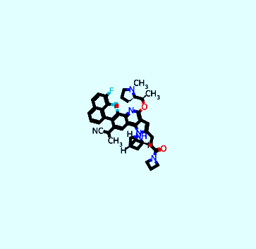 CC(C#N)c1cc2c(nc(O[C@@H](C)[C@@H]3CCCN3C)c3cc(CCC(=O)N4CCC4)n([C@H]4[C@H]5CN[C@@H]4C5)c32)c(F)c1-c1cccc2ccc(F)c(F)c12